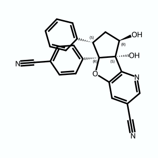 N#Cc1ccc([C@@]23Oc4cc(C#N)cnc4[C@]2(O)[C@H](O)C[C@H]3c2ccccc2)cc1